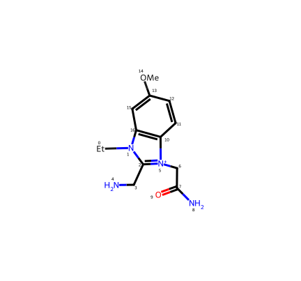 CCn1c(CN)[n+](CC(N)=O)c2ccc(OC)cc21